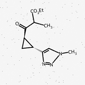 CCOC(=O)C(C)C(=O)[C@@H]1C[C@H]1c1cn(C)nn1